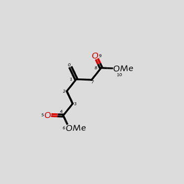 C=C(CCC(=O)OC)CC(=O)OC